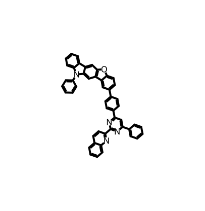 c1ccc(-c2cc(-c3ccc(-c4ccc5oc6cc7c8ccccc8n(-c8ccccc8)c7cc6c5c4)cc3)nc(-c3ccc4ccccc4n3)n2)cc1